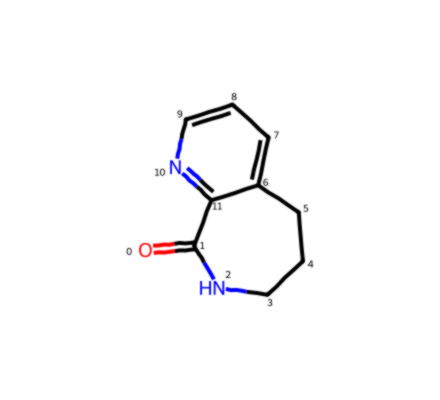 O=C1NCCCc2cccnc21